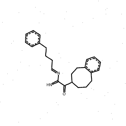 N=C(/N=C/CCCc1ccccc1)C(=O)C1CCCc2ccccc2CC1